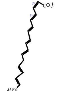 CCCCCCC=CC=CCC=CC=CC=C/C=C/C=C\C(=O)O